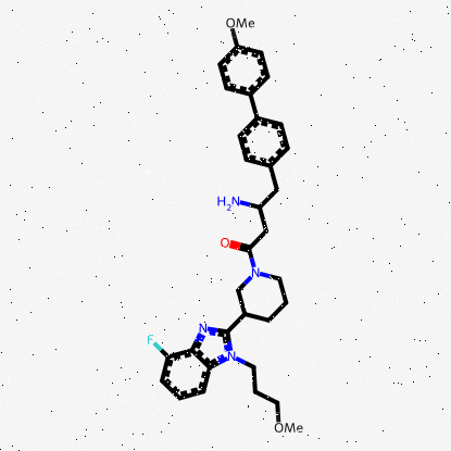 COCCCn1c(C2CCCN(C(=O)CC(N)Cc3ccc(-c4ccc(OC)cc4)cc3)C2)nc2c(F)cccc21